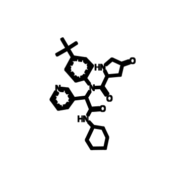 CC(C)(C)c1ccc(N(C(=O)C2CC(=O)CN2)C(C(=O)NC2CCCCC2)c2cccnc2)cc1